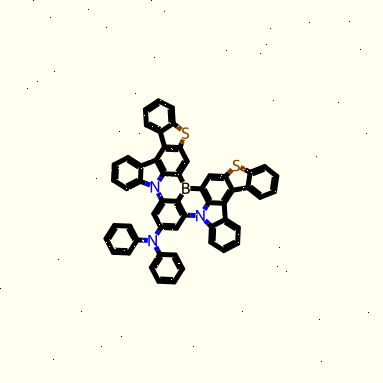 c1ccc(N(c2ccccc2)c2cc3c4c(c2)-n2c5ccccc5c5c6c(cc(c52)B4c2cc4sc5ccccc5c4c4c5ccccc5n-3c24)sc2ccccc26)cc1